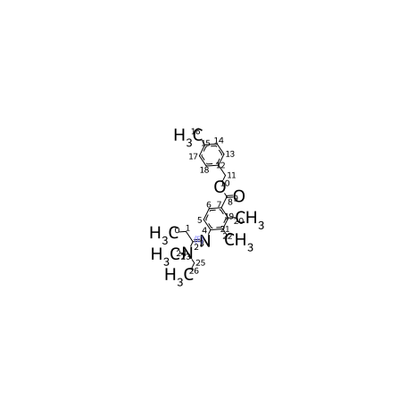 CC/C(=N\c1ccc(C(=O)OCc2ccc(C)cc2)c(C)c1C)N(C)CC